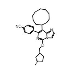 CN1CCC(COc2nc(-c3ccc(C#N)cc3)c(C3CCCCCCCCC3)c3nccn23)C1